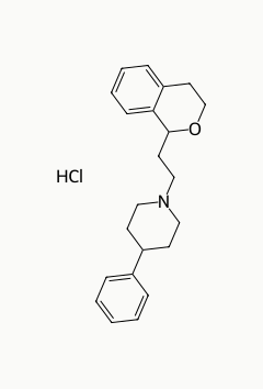 Cl.c1ccc(C2CCN(CCC3OCCc4ccccc43)CC2)cc1